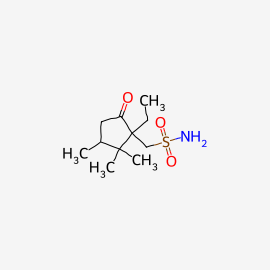 CCC1(CS(N)(=O)=O)C(=O)CC(C)C1(C)C